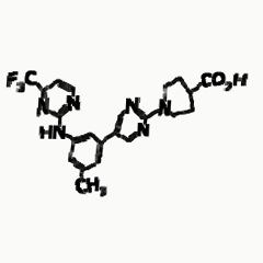 Cc1cc(Nc2nccc(C(F)(F)F)n2)cc(-c2cnc(N3CCC(C(=O)O)CC3)nc2)c1